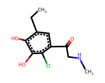 CCc1cc(C(=O)CNC)c(Cl)c(O)c1O